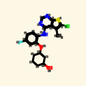 Cc1c(Cl)sc2ncnc(Nc3ccc(F)cc3OC3CCCC(O)C3)c12